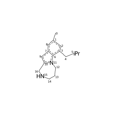 Cc1cc(CC(C)C)c2c(c1)cc1n2CCCNC1